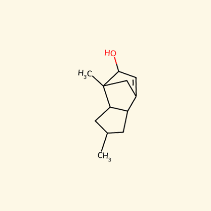 CC1CC2C3=CC(O)C(C)(C3)C2C1